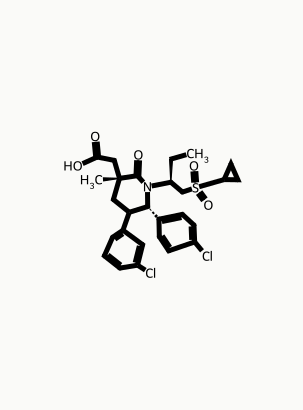 CC[C@@H](CS(=O)(=O)C1CC1)N1C(=O)[C@@](C)(CC(=O)O)CC(c2cccc(Cl)c2)[C@H]1c1ccc(Cl)cc1